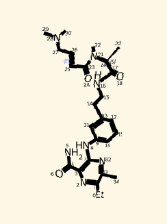 CCc1nc(C(N)=O)c(Nc2cccc(CCNC(=O)[C@H](C)N(C)C(=O)/C=C/CN(C)C)c2)nc1C